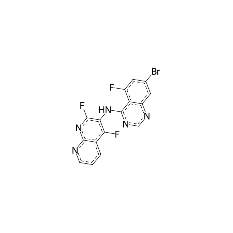 Fc1nc2ncccc2c(F)c1Nc1ncnc2cc(Br)cc(F)c12